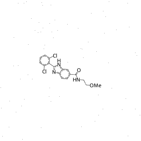 COCCNC(=O)c1ccc2nc(-c3c(Cl)cccc3Cl)[nH]c2c1